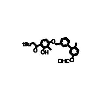 Cc1ccc(OC=O)cc1-c1cccc(COc2ccc(C(=O)CC(C)(C)C)c(O)c2C)c1